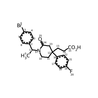 C[C@@H](c1ccc(Br)cc1)N1CCC(CCC(=O)O)(c2ccc(F)cc2)CC1=O